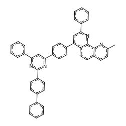 Cc1ccc2ccc3c(-c4ccc(-c5cc(-c6ccccc6)nc(-c6ccc(-c7ccccc7)cc6)n5)cc4)cc(-c4ccccc4)nc3c2n1